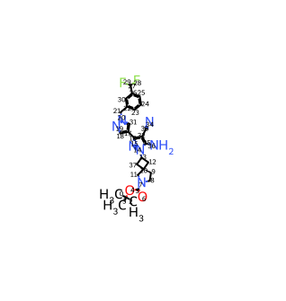 CC(C)(C)OC(=O)N1CC[C@]2(C1)C[C@H](n1nc(-c3cnn(Cc4cccc(C(F)F)c4)c3)c(C#N)c1N)C2